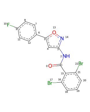 O=C(Nc1cc(-c2ccc(F)cc2)on1)c1c(Br)cccc1Br